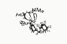 CNC(=O)[C@H]1C[C@H](O)CN1C(=O)[C@@H](n1cc(C(C)(O)Cc2ccccc2)nn1)C(C)(C)C